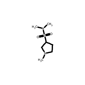 CN1CCC(S(=O)(=O)N(C)C)C1